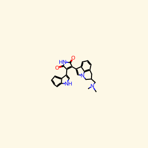 CN(C)CC1Cc2cccc3c(C4=C(c5c[nH]c6ccccc56)C(=O)NC4=O)cn(c23)C1